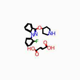 Fc1ccccc1-n1nc(OC2CCNCC2)c2ccccc21.O=C(O)/C=C/C(=O)O